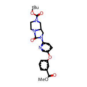 COC(=O)c1cccc(Oc2ccc(N3CC4CN(C(=O)OC(C)(C)C)CCN4C3=O)nc2)c1